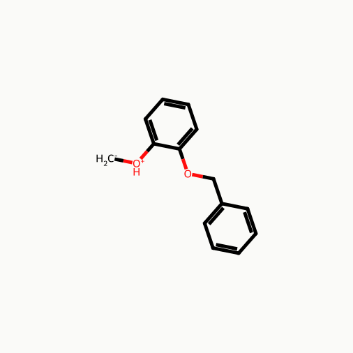 [CH2-][OH+]c1ccccc1OCc1ccccc1